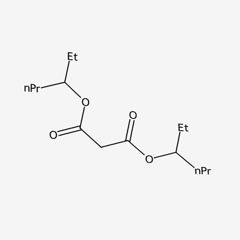 CCCC(CC)OC(=O)CC(=O)OC(CC)CCC